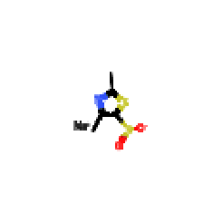 Cc1nc(C)c(S(=O)[O-])s1.[Na+]